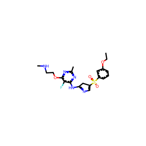 CCOc1cccc(S(=O)(=O)C2=CN=C(Nc3nc(C)nc(OCCNC)c3F)C2)c1